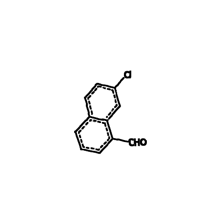 O=Cc1cccc2ccc(Cl)cc12